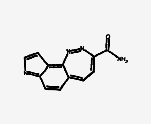 NC(=O)c1ccc2ccc3nccc3c2nn1